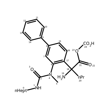 CCCCCCCNC(=O)N(C)c1cc(-c2ccccc2)ccc1C(N)(CCC)C(=O)OC(=O)O